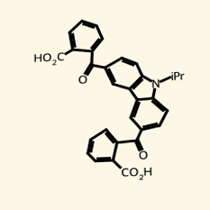 CC(C)n1c2ccc(C(=O)c3ccccc3C(=O)O)cc2c2cc(C(=O)c3ccccc3C(=O)O)ccc21